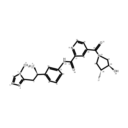 C[C@H](Cc1nncn1C)c1cccc(NC(=O)c2cc(C(=O)N3C[C@@H](O)[C@H](F)C3)ccn2)c1